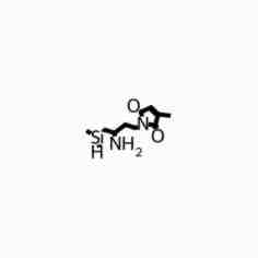 CC1=CC(=O)N(CCC(N)C[SiH](C)C)C1=O